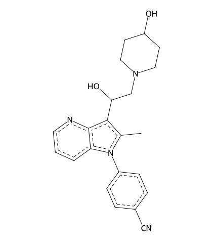 Cc1c(C(O)CN2CCC(O)CC2)c2ncccc2n1-c1ccc(C#N)cc1